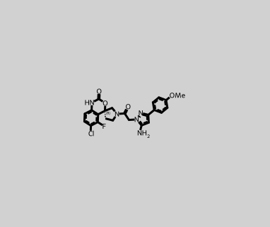 COc1ccc(-c2cc(N)n(CC(=O)N3CC[C@@]4(C3)OC(=O)Nc3ccc(Cl)c(F)c34)n2)cc1